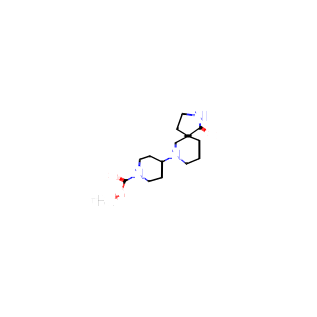 CC(C)(C)OC(=O)N1CCC(N2CCCC3(CCNC3=O)C2)CC1